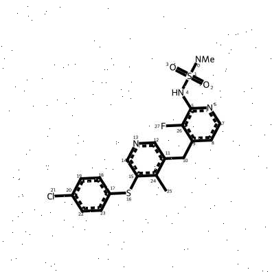 CNS(=O)(=O)Nc1nccc(Cc2cncc(Sc3ccc(Cl)cc3)c2C)c1F